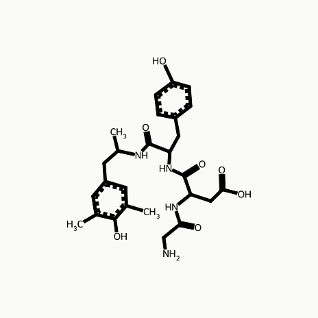 Cc1cc(CC(C)NC(=O)C(Cc2ccc(O)cc2)NC(=O)C(CC(=O)O)NC(=O)CN)cc(C)c1O